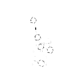 Oc1nc(-c2ccc(C#Cc3ccccc3)cc2)nc(-c2c(OCc3cc(C(F)(F)F)ccn3)cccc2C(F)(F)F)n1